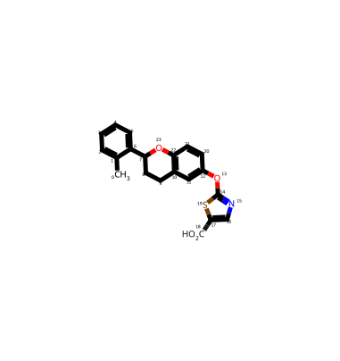 Cc1ccccc1C1CCc2cc(Oc3ncc(C(=O)O)s3)ccc2O1